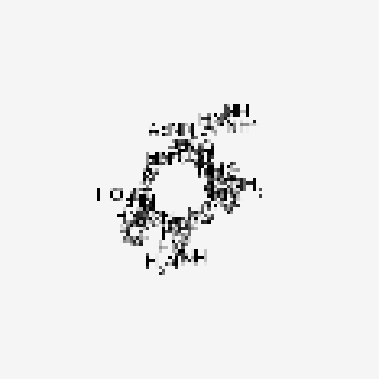 CC(=O)N[C@@H](CCCNC(=N)N)C(=O)N[C@H]1CC(=O)NCCCC[C@@H](C(=O)O)NC(=O)[C@H](Cc2c[nH]c3ccccc23)NC(=O)[C@H](CCCNC(=N)N)NC(=O)[C@@H](Cc2ccccc2)NC(=O)[C@H](CCC(N)=O)NC1=O